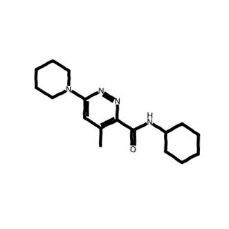 Cc1cc(N2CCCCC2)nnc1C(=O)NC1CCCCC1